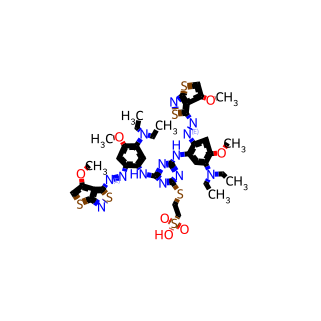 CCN(CC)c1cc(Nc2nc(Nc3cc(N(CC)CC)c(OC)cc3/N=N/c3snc4scc(OC)c34)nc(SCCS(=O)(=O)O)n2)c(/N=N/c2snc3scc(OC)c23)cc1OC